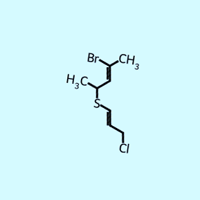 CC(Br)=CC(C)S/C=C/CCl